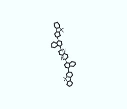 CC1(C)c2ccccc2-c2ccc(-c3ccc(-c4ccc5nc(-c6ccc(-c7ccc8c(c7)C(C)(C)c7ccccc7-8)c7ccccc67)ccc5n4)c4ccccc34)cc21